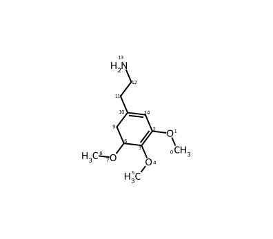 COC1=C(OC)C(OC)CC(CCN)=C1